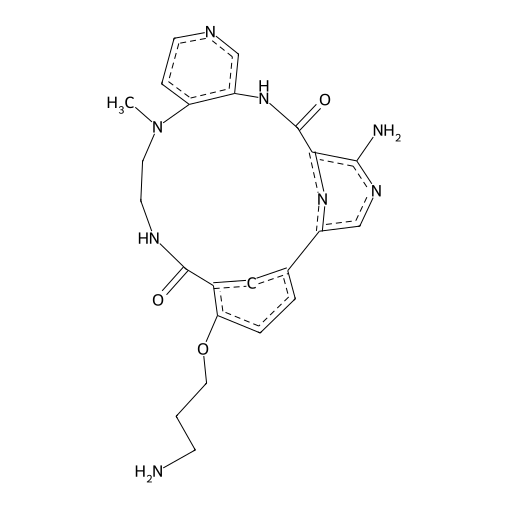 CN1CCNC(=O)c2cc(ccc2OCCCN)-c2cnc(N)c(n2)C(=O)Nc2cnccc21